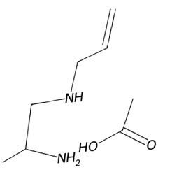 C=CCNCC(C)N.CC(=O)O